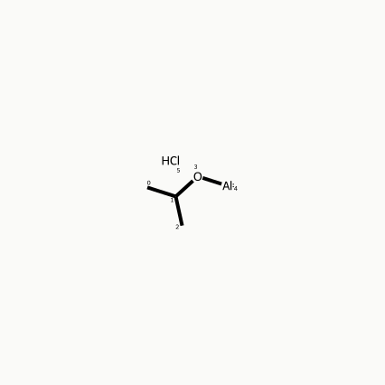 CC(C)[O][Al].Cl